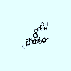 Cc1ccc(OC(=O)N2CCC3=C(NC4C=CC(Cl)=CC34)[C@@H]2c2ccc(OCC[C@H](O)CO)cc2)cc1